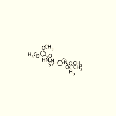 COc1cc(OC)cc(C(=O)Nc2nc(-c3ccc4c(c3)CCN4C(=O)OC(C)(C)C)cs2)c1